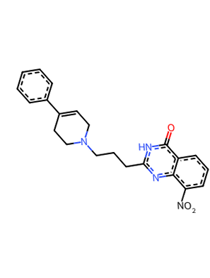 O=c1[nH]c(CCCN2CC=C(c3ccccc3)CC2)nc2c([N+](=O)[O-])cccc12